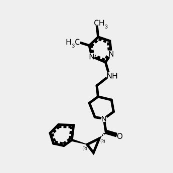 Cc1cnc(NCC2CCN(C(=O)[C@@H]3C[C@H]3c3ccccc3)CC2)nc1C